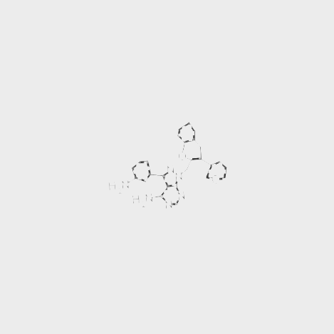 Nc1cccc(-c2nn(CC3=C(c4ccccc4)Cc4ccccc4O3)c3ncnc(N)c23)c1